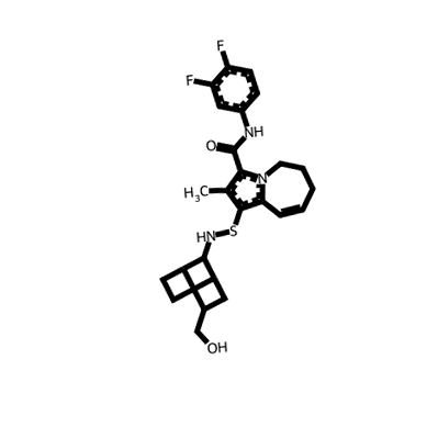 Cc1c(SNC2C3CCC34C(CO)CC24)c2n(c1C(=O)Nc1ccc(F)c(F)c1)CCCC=C2